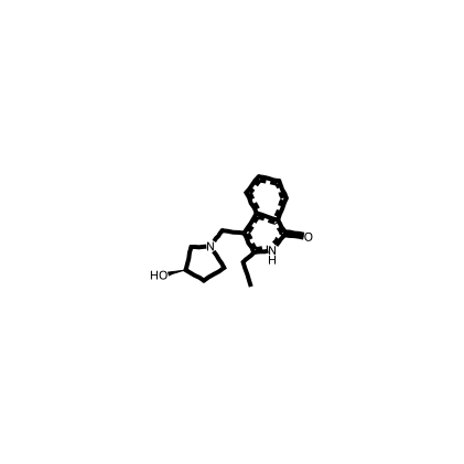 CCc1[nH]c(=O)c2ccccc2c1CN1CC[C@@H](O)C1